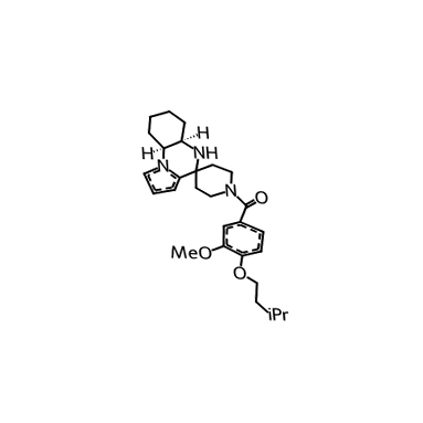 COc1cc(C(=O)N2CCC3(CC2)N[C@@H]2CCCC[C@@H]2n2cccc23)ccc1OCCC(C)C